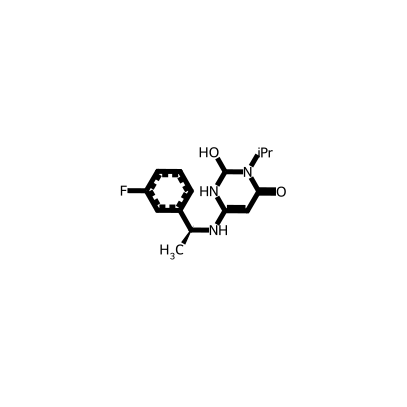 CC(C)N1C(=O)C=C(N[C@@H](C)c2cccc(F)c2)NC1O